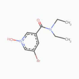 CCN(CC)C(=O)c1cc(Br)c[n+](O)c1